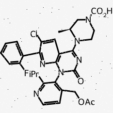 CC(=O)OCc1ccnc(C(C)C)c1-n1c(=O)nc(N2CCN(C(=O)O)C[C@@H]2C)c2cc(Cl)c(-c3ccccc3F)nc21